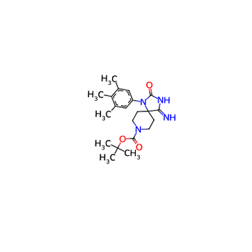 Cc1cc(N2C(=O)NC(=N)C23CCN(C(=O)OC(C)(C)C)CC3)cc(C)c1C